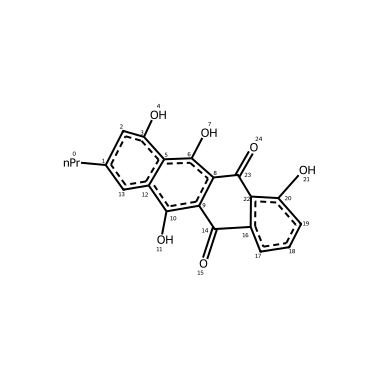 CCCc1cc(O)c2c(O)c3c(c(O)c2c1)C(=O)c1cccc(O)c1C3=O